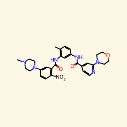 Cc1ccc(NC(=O)c2ccnc(N3CCOCC3)c2)cc1NC(=O)c1cc(N2CCN(C)CC2)ccc1[N+](=O)[O-]